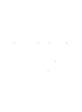 CN1CCN(c2ccc(C#N)c(CN3CCN(c4ccc(O)cc4)CC3)c2)CC1